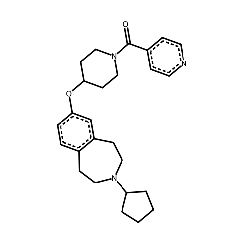 O=C(c1ccncc1)N1CCC(Oc2ccc3c(c2)CCN(C2CCCC2)CC3)CC1